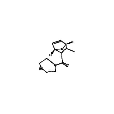 CC1C(C(=O)N2CCNCC2)[C@@H]2C=C[C@H]1O2